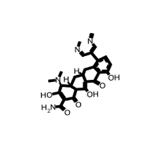 C=N/C=C(\C=N/C)c1ccc(O)c2c1C[C@H]1C[C@@H]3C(C(=O)C(C(N)=O)=C(O)[C@H]3N(C)C)C(O)=C1C2=O